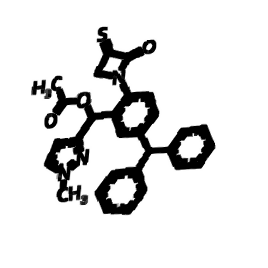 CC(=O)OC(c1ccn(C)n1)c1cc(C(c2ccccc2)c2ccccc2)ccc1N1CC(=S)C1=O